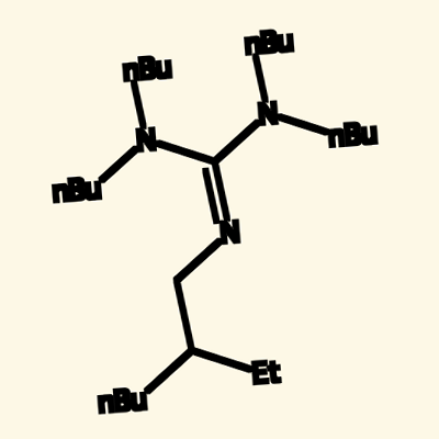 CCCCC(CC)CN=C(N(CCCC)CCCC)N(CCCC)CCCC